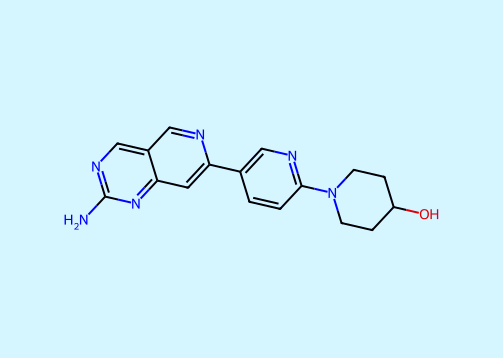 Nc1ncc2cnc(-c3ccc(N4CCC(O)CC4)nc3)cc2n1